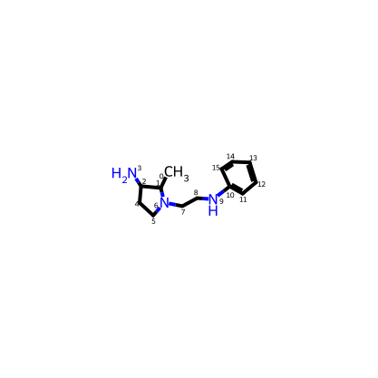 CC1C(N)CCN1CCNc1ccccc1